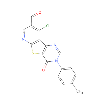 Cc1ccc(-n2cnc3c(sc4ncc(C=O)c(Cl)c43)c2=O)cc1